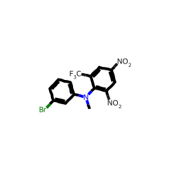 CN(c1cccc(Br)c1)c1c([N+](=O)[O-])cc([N+](=O)[O-])cc1C(F)(F)F